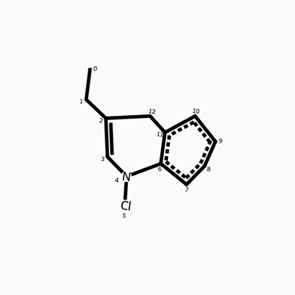 CCC1=CN(Cl)c2ccccc2C1